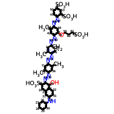 C=C(/C=C(C)\C(=C/CC)N=Nc1cc(C)c(/N=N/c2c(S(=O)(=O)O)cc3cc(Nc4ccccc4)ccc3c2O)cc1C)N=Nc1cc(C)c(N=Nc2ccc(S(=O)(=O)O)cc2S(=O)(=O)O)cc1OCCCS(=O)(=O)O